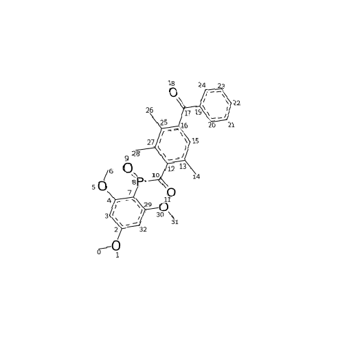 COc1cc(OC)c([P](=O)C(=O)c2c(C)cc(C(=O)c3ccccc3)c(C)c2C)c(OC)c1